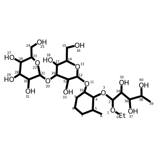 CCOC(OC1C(C)CCCC1OC1OC(CO)C(O)C(OC2OC(CO)C(O)C(O)C2O)C1O)C(O)C(O)C(C)O